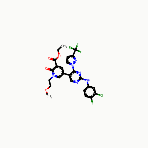 CCOC(=O)c1cc(-c2cnc(Nc3ccc(F)c(Cl)c3)nc2-n2ccc(C(F)(F)F)n2)cn(CCOC)c1=O